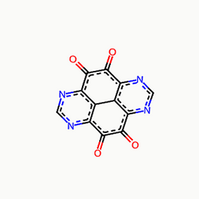 O=c1c(=O)c2ncnc3c2-c2c1ncnc2c(=O)c3=O